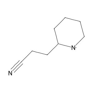 N#CCCC1CCCC[N]1